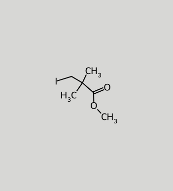 COC(=O)C(C)(C)CI